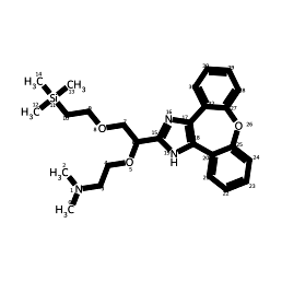 CN(C)CCOC(COCC[Si](C)(C)C)c1nc2c([nH]1)-c1ccccc1Oc1ccccc1-2